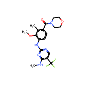 CNc1nc(Nc2ccc(C(=O)N3CCOCC3)c(C)c2OC)ncc1C(F)(F)F